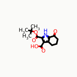 CC(C)(C)OC(=O)c1[nH]c2c(c1C(=O)O)CCCC2=O